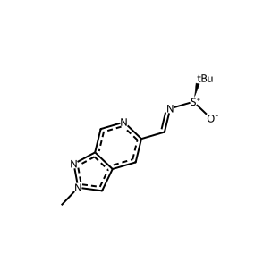 Cn1cc2cc(/C=N/[S@+]([O-])C(C)(C)C)ncc2n1